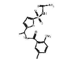 COc1ccc(C)cc1C(=O)NC(C)c1ccc(S(=O)(=O)NC(N)=S)s1